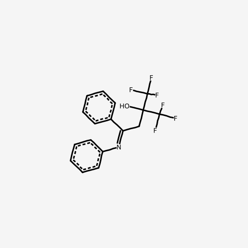 OC(C/C(=N/c1ccccc1)c1ccccc1)(C(F)(F)F)C(F)(F)F